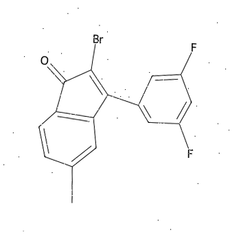 Cc1ccc2c(c1)C(c1cc(F)cc(F)c1)=C(Br)C2=O